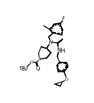 C=C(NCc1ccc(OC2CC2)cc1)N(Cc1ccc(F)cc1C)C1CCN(C(=O)OC(C)(C)C)CC1